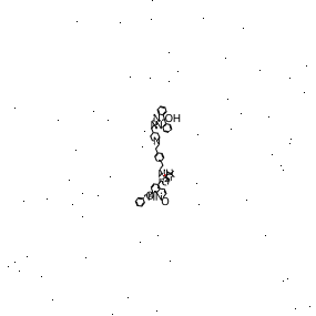 CC(C)(C)[Si](C)(C)O[C@@H](CNCCc1ccc(CCN2CCC(Cn3cnc(C(O)(c4ccccc4)c4ccccc4)n3)CC2)cc1)c1ccc(OCc2ccccc2)c2[nH]c(=O)ccc12